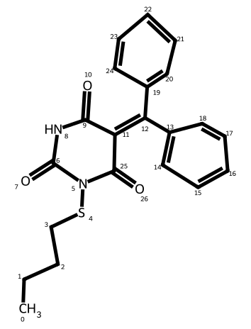 CCCCSN1C(=O)NC(=O)C(=C(c2ccccc2)c2ccccc2)C1=O